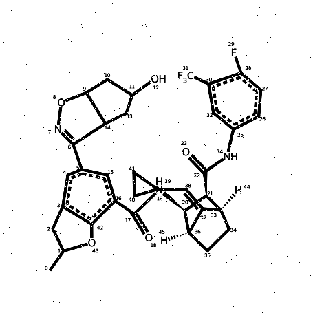 CC1Cc2cc(C3=NOC4CC(O)CC34)cc(C(=O)N[C@H]3[C@@H](C(=O)Nc4ccc(F)c(C(F)(F)F)c4)[C@H]4CC[C@@H]3/C4=C\C3CC3)c2O1